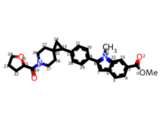 COC(=O)c1ccc2cc(-c3ccc(C4CC45CCN(C(=O)C4CCCO4)CC5)cc3)n(C)c2c1